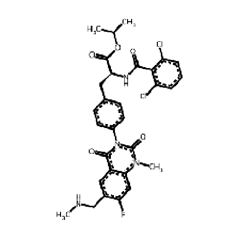 CNCc1cc2c(=O)n(-c3ccc(C[C@H](NC(=O)c4c(Cl)cccc4Cl)C(=O)OC(C)C)cc3)c(=O)n(C)c2cc1F